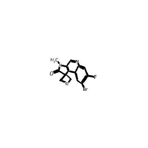 CN1C(=O)C2(COC2)c2c1cnc1cc(F)c(Br)cc21